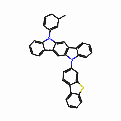 CC1C=C(n2c3ccccc3c3cc4c(cc32)c2ccccc2n4-c2ccc3c(c2)sc2ccccc23)C=CC1